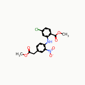 COC(=O)Cc1ccc(Nc2cc(Cl)ccc2C(=O)OC)c([N+](=O)[O-])c1